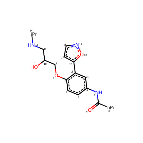 CCCC(=O)Nc1ccc(OCC(O)CNC(C)C)c(-c2ccno2)c1